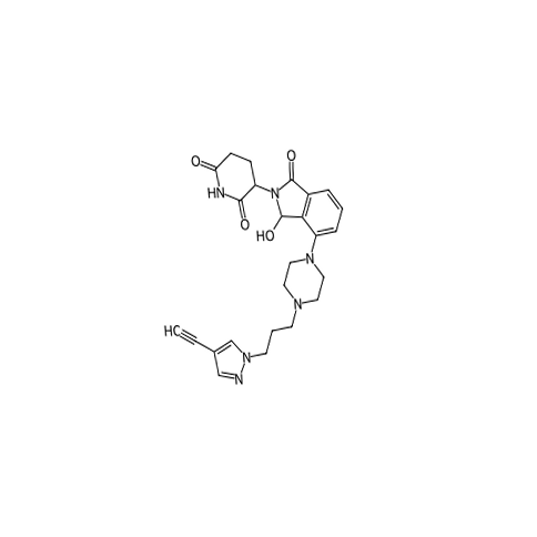 C#Cc1cnn(CCCN2CCN(c3cccc4c3C(O)N(C3CCC(=O)NC3=O)C4=O)CC2)c1